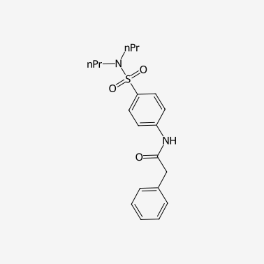 CCCN(CCC)S(=O)(=O)c1ccc(NC(=O)Cc2ccccc2)cc1